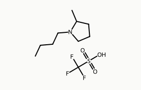 CCCCN1CCCC1C.O=S(=O)(O)C(F)(F)F